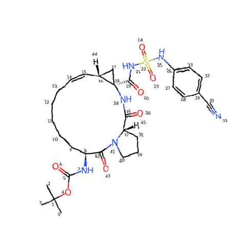 CC(C)(C)OC(=O)N[C@H]1CCCCC/C=C\[C@@H]2C[C@@]2(C(=O)NS(=O)(=O)Nc2ccc(C#N)cc2)NC(=O)[C@@H]2CCCN2C1=O